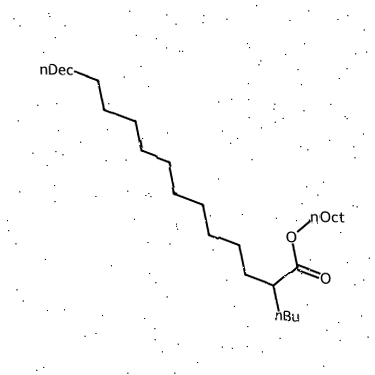 CCCCCCCCCCCCCCCCCCCCC(CCCC)C(=O)OCCCCCCCC